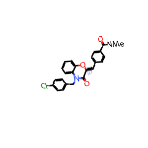 CNC(=O)c1ccc(/C=C2\Oc3ccccc3N(Cc3ccc(Cl)cc3)C2=O)cc1